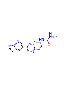 CCNC(=O)Nc1ccc2ncc(-c3cnc4[nH]ccc4c3)nc2n1